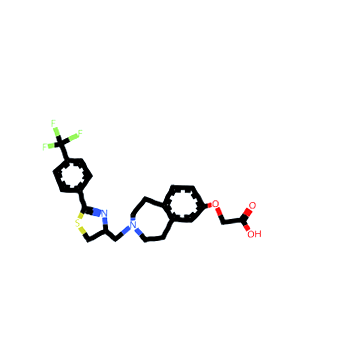 O=C(O)COc1ccc2c(c1)CCN(CC1CSC(c3ccc(C(F)(F)F)cc3)=N1)CC2